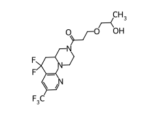 CC(O)COCCC(=O)N1CCN2c3ncc(C(F)(F)F)cc3C(F)(F)CC2C1